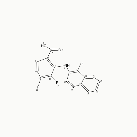 Cc1c(Nc2c(C(=O)O)ccc(F)c2F)cnc2ccccc12